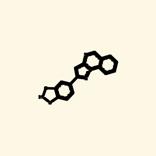 c1ccc2c(c1)cnc1cc(-c3ccc4c(c3)ONO4)nn12